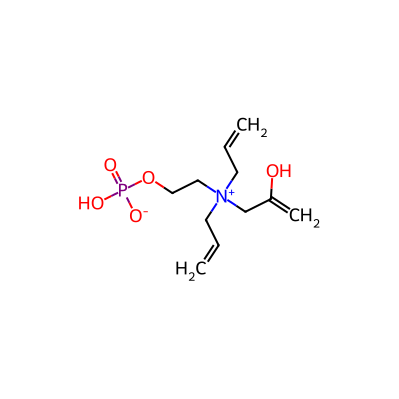 C=CC[N+](CC=C)(CCOP(=O)([O-])O)CC(=C)O